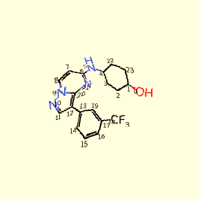 O[C@H]1CC[C@@H](Nc2ccn3ncc(-c4cccc(C(F)(F)F)c4)c3n2)CC1